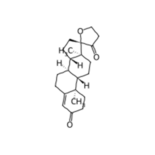 C[C@]12CCC(=O)C=C1CC[C@@H]1[C@@H]2CC[C@@]2(C)[C@H]1CC[C@]21OCCC1=O